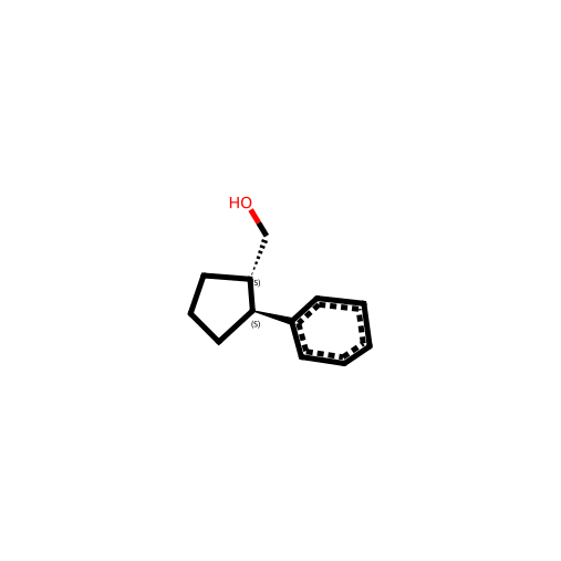 OC[C@H]1CCC[C@@H]1c1ccccc1